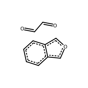 O=CC=O.c1ccc2cocc2c1